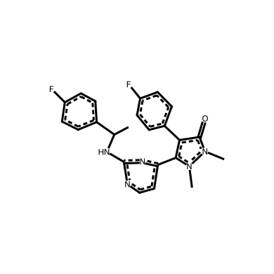 CC(Nc1nccc(-c2c(-c3ccc(F)cc3)c(=O)n(C)n2C)n1)c1ccc(F)cc1